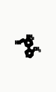 Cc1ccncc1-c1ccc(N)c(C=N)c1